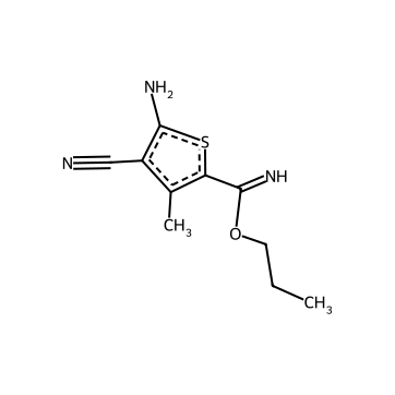 CCCOC(=N)c1sc(N)c(C#N)c1C